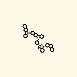 c1cc(-c2nc(-c3ccc4ccc5ccccc5c4c3)c3ccccc3n2)cc(-n2c3ccccc3c3cc4ccc(-n5c6ccccc6c6cc7ccccc7cc65)cc4cc32)c1